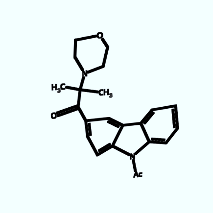 CC(=O)n1c2ccccc2c2cc(C(=O)C(C)(C)N3CCOCC3)ccc21